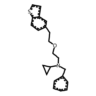 c1ccc(CN(CCOCCc2ccc3sccc3c2)C2CC2)cc1